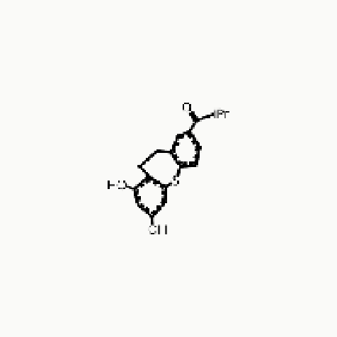 CC(C)C(=O)c1ccc2c(c1)CCc1c(O)cc(O)cc1S2